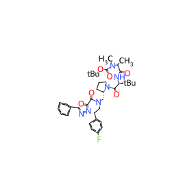 C[C@@H](C(=O)N[C@H](C(=O)N1CCC[C@H]1CN(CCc1ccc(F)cc1)C(=O)c1nnc(-c2ccccc2)o1)C(C)(C)C)N(C)C(=O)OC(C)(C)C